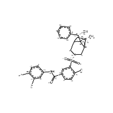 C[C@H]1CC2C[C@@H](S(=O)(=O)c3cc(C(=O)Nc4ccc(F)c(F)c4)ccc3Cl)CC1[C@@]2(O)[C@@H](O)c1cccnc1